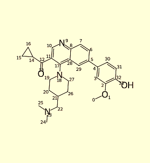 COc1cc(-c2ccc3ncc(C(=O)C4CC4)c(N4CCC(CN(C)C)CC4)c3c2)ccc1O